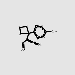 [N-]=[N+]=C(C=O)C1(c2ccc(Cl)cc2)CCC1